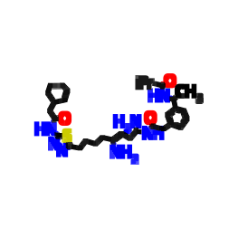 CC(C)C(=O)NC(C)c1cccc(CC(=O)NC(N)C/C=C(\N)CCCCc2nnc(NC(=O)CC3C=CC=CC3)s2)c1